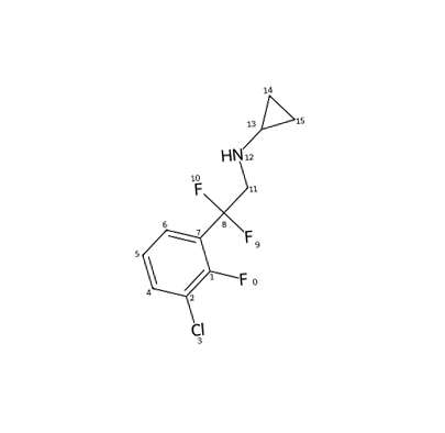 Fc1c(Cl)cccc1C(F)(F)CNC1CC1